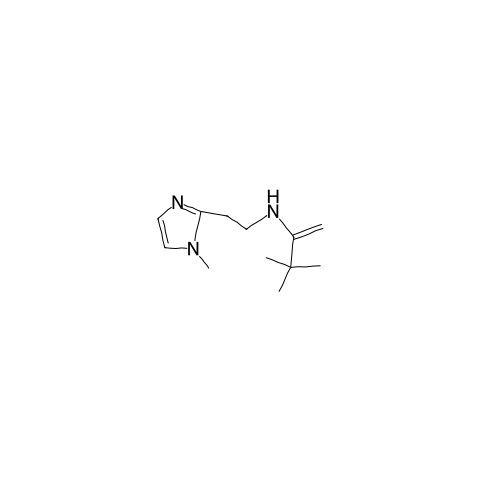 C=C(NCCc1nccn1C)C(C)(C)C